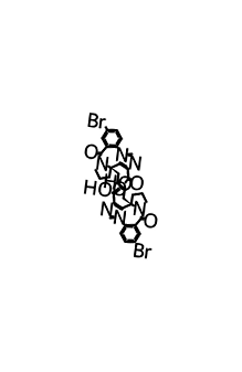 O=C(O)c1ncn2c1[C@]1(CCCC[C@@]34CCCN3C(=O)c3cc(Br)ccc3-n3cnc(C(=O)O)c34)CCCN1C(=O)c1cc(Br)ccc1-2